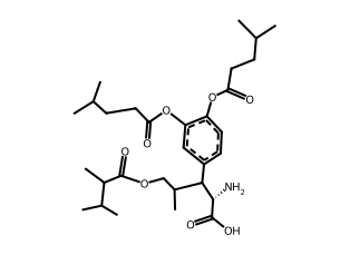 CC(C)CCC(=O)Oc1ccc(C(C(C)COC(=O)C(C)C(C)C)[C@H](N)C(=O)O)cc1OC(=O)CCC(C)C